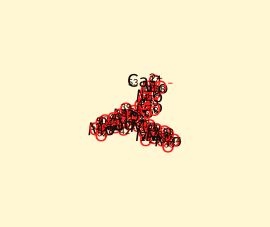 O=P([O][Mo](=[O])(=[O])[O][Mo](=[O])(=[O])[O][Mo](=[O])(=[O])[O][Mo](=[O])(=[O])[O-])([O][Mo](=[O])(=[O])[O][Mo](=[O])(=[O])[O][Mo](=[O])(=[O])[O][Mo](=[O])(=[O])[O-])[O][Mo](=[O])(=[O])[O][Mo](=[O])(=[O])[O][Mo](=[O])(=[O])[O][Mo](=[O])(=[O])[O-].[Ca+2]